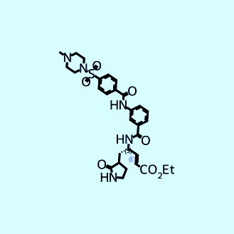 CCOC(=O)/C=C/[C@H](CC1CCNC1=O)NC(=O)c1cccc(NC(=O)c2ccc(S(=O)(=O)N3CCN(C)CC3)cc2)c1